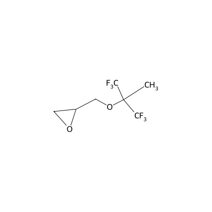 CC(OCC1CO1)(C(F)(F)F)C(F)(F)F